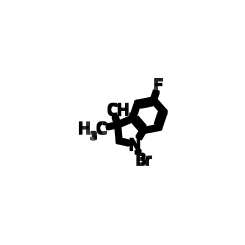 CC1(C)CN(Br)c2ccc(F)cc21